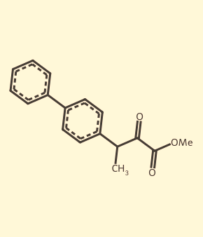 COC(=O)C(=O)C(C)c1ccc(-c2ccccc2)cc1